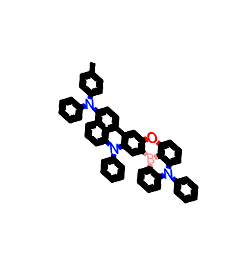 Cc1ccc(N(c2ccccc2)c2ccc3c4c(cccc24)N(c2ccccc2)c2cc4c(cc2-3)Oc2cccc3c2B4c2ccccc2N3c2ccccc2)cc1